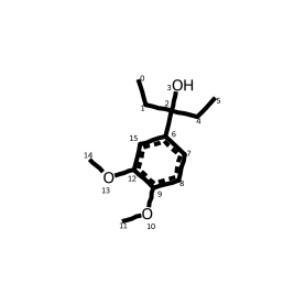 CCC(O)(CC)c1ccc(OC)c(OC)c1